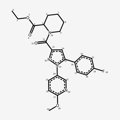 CCOC(=O)C1CCCCN1C(=O)c1cc(-c2ccc(F)cc2)n(-c2ccc(OC)nc2)n1